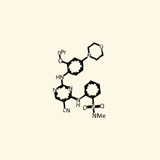 CCCOc1cc(N2CCOCC2)ccc1Nc1ncc(C#N)c(Nc2ccccc2S(=O)(=O)NC)n1